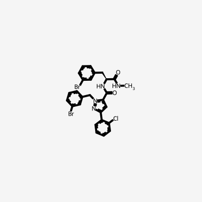 CNC(=O)[C@H](Cc1cccc(Br)c1)NC(=O)c1cc(-c2ccccc2Cl)nn1Cc1cccc(Br)c1